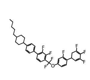 CCCCCC1CCC(c2ccc(-c3ccc(C(F)(F)Oc4ccc(C5C=C(F)C(F)=C(F)C5)c(F)c4)c(F)c3F)cc2)CC1